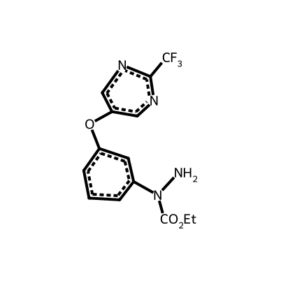 CCOC(=O)N(N)c1cccc(Oc2cnc(C(F)(F)F)nc2)c1